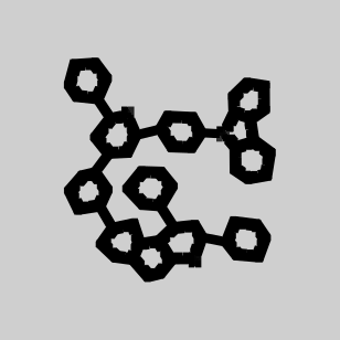 c1ccc(-c2cc(-c3cccc(-c4ccc5ccc6nc(-c7ccccc7)cc(-c7ccccc7)c6c5c4)c3)cc(-c3ccc(-n4c5ccccc5c5ccccc54)cc3)n2)cc1